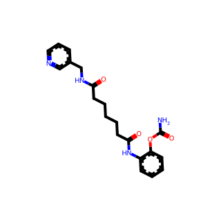 NC(=O)Oc1ccccc1NC(=O)CCCCCC(=O)NCc1cccnc1